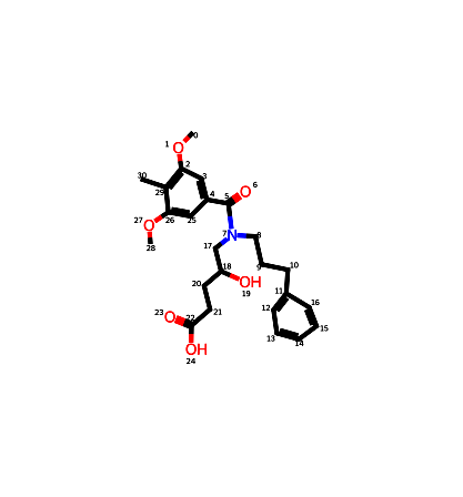 COc1cc(C(=O)N(CCCc2ccccc2)CC(O)CCC(=O)O)cc(OC)c1C